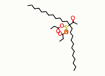 CCCCCCCCCCCCC(CCCCCCCCCCCC)(C(C)=O)[SH](OC(=O)CC)OC(=O)CC